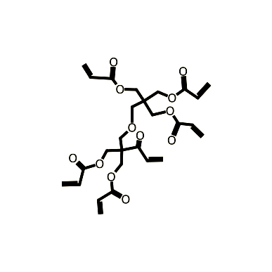 C=CC(=O)OCC(COCC(COC(=O)C=C)(COC(=O)C=C)C(=O)C=C)(COC(=O)C=C)COC(=O)C=C